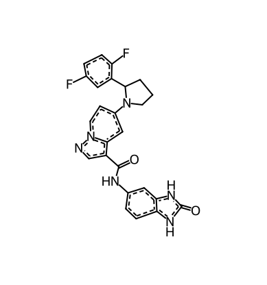 O=C(Nc1ccc2[nH]c(=O)[nH]c2c1)c1cnn2ccc(N3CCCC3c3cc(F)ccc3F)cc12